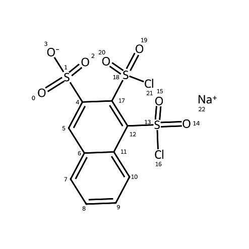 O=S(=O)([O-])c1cc2ccccc2c(S(=O)(=O)Cl)c1S(=O)(=O)Cl.[Na+]